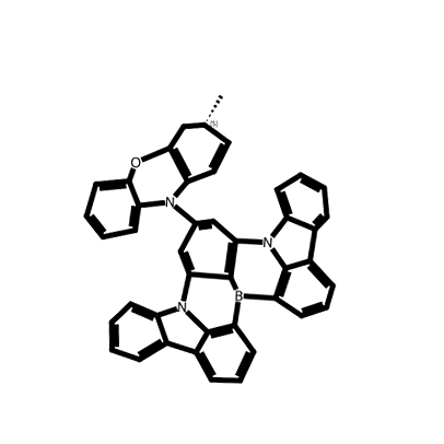 C[C@@H]1C=CC2=C(C1)Oc1ccccc1N2c1cc2c3c(c1)-n1c4ccccc4c4cccc(c41)B3c1cccc3c4ccccc4n-2c13